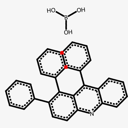 OB(O)O.c1ccc(-c2ccc3nc4ccccc4c(-c4ccccc4)c3c2-c2ccccc2)cc1